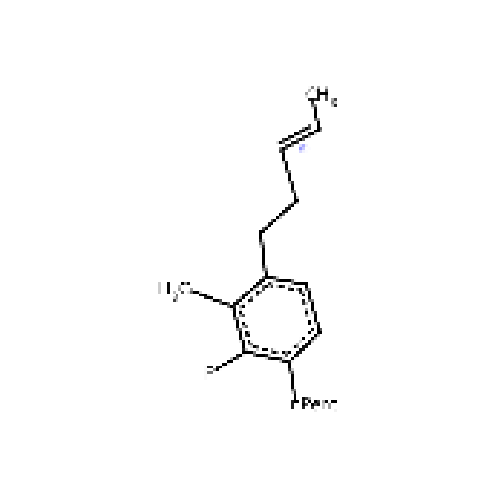 C/C=C/CCc1ccc(CCCCC)c(F)c1C